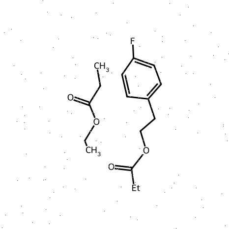 CCC(=O)OCCc1ccc(F)cc1.CCOC(=O)CC